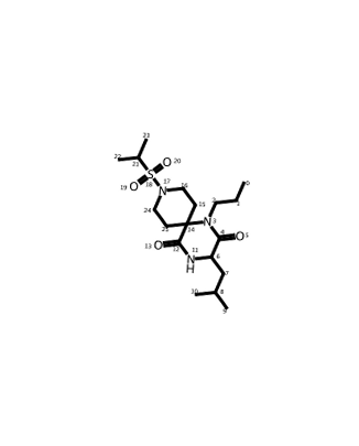 CCCN1C(=O)C(CC(C)C)NC(=O)C12CCN(S(=O)(=O)C(C)C)CC2